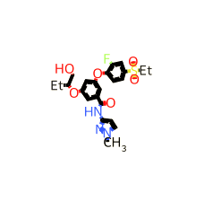 CCC(CO)Oc1cc(Oc2ccc(S(=O)(=O)CC)cc2F)cc(C(=O)Nc2ccn(C)n2)c1